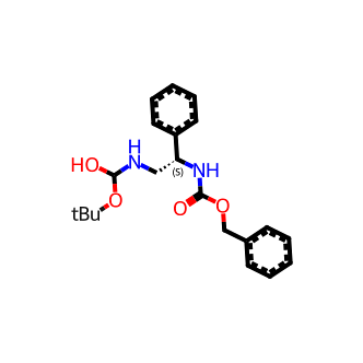 CC(C)(C)OC(O)NC[C@@H](NC(=O)OCc1ccccc1)c1ccccc1